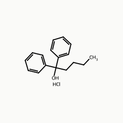 CCCCC(O)(c1ccccc1)c1ccccc1.Cl